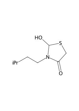 CC(C)CCN1C(=O)CSC1O